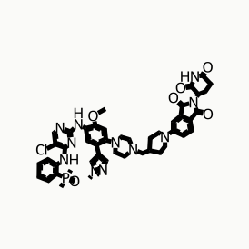 COc1cc(N2CCN(CC3CCN(c4ccc5c(c4)C(=O)N(C4CCC(=O)NC4=O)C5=O)CC3)CC2)c(-c2cnn(C)c2)cc1Nc1ncc(Cl)c(Nc2ccccc2P(C)(C)=O)n1